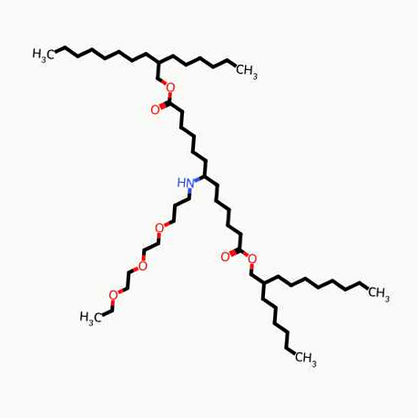 CCCCCCCCC(CCCCCC)COC(=O)CCCCCC(CCCCCC(=O)OCC(CCCCCC)CCCCCCCC)NCCCOCCOCCOCC